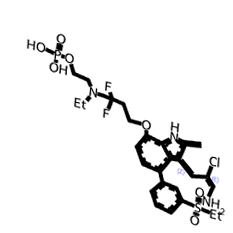 C=c1[nH]c2c(OCCC(F)(F)N(CC)CCOP(=O)(O)O)ccc(-c3cccc(S(=O)(=O)CC)c3)c2/c1=C/C(Cl)=C\N